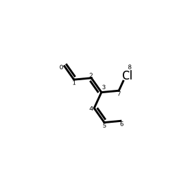 C=C/C=C(\C=C/C)CCl